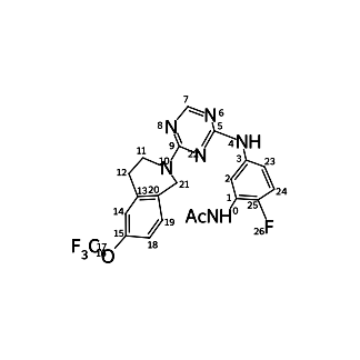 CC(=O)Nc1cc(Nc2ncnc(N3CCc4cc(OC(F)(F)F)ccc4C3)n2)ccc1F